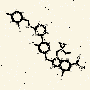 CCC1(Cn2c(Cc3ccc(-c4ccnc(OCc5ccc(C)cc5F)n4)c(F)c3)nc3c(F)cc(C(=O)O)cc32)CC1